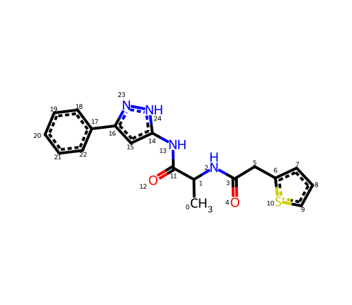 CC(NC(=O)Cc1cccs1)C(=O)Nc1cc(-c2ccccc2)n[nH]1